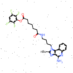 CCCCc1nc2c(N)nc3ccccc3c2n1CCCCNC(=O)CCCCCC(=O)Oc1c(F)c(F)cc(F)c1F